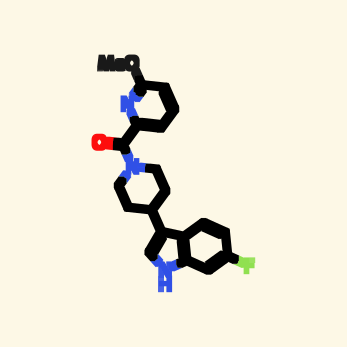 COc1cccc(C(=O)N2CCC(c3c[nH]c4cc(F)ccc34)CC2)n1